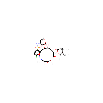 CC[C@H]1OC(=O)[C@H](C)[C@@H](O[C@H]2C[C@@](C)(OC)[C@](O)(CNC)[C@H](C)O2)[C@H](C)[C@@H](O[C@@H]2O[C@H](C)C[C@H](N(C)S(=O)(=O)c3ccc(Cl)cc3)[C@H]2O)[C@](C)(O)C[C@@H](C)CN[C@H](C)[C@@H](O)[C@]1(C)O